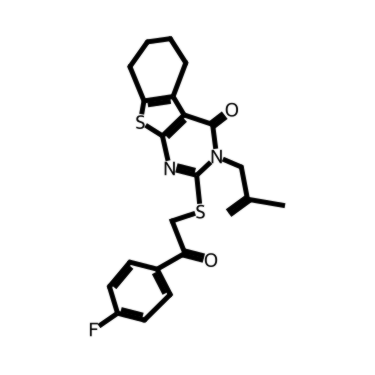 C=C(C)Cn1c(SCC(=O)c2ccc(F)cc2)nc2sc3c(c2c1=O)CCCC3